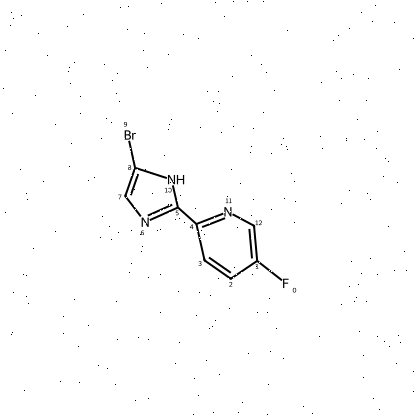 Fc1ccc(-c2ncc(Br)[nH]2)nc1